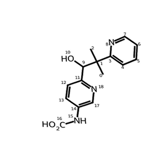 CC(C)(c1ccccn1)C(O)c1ccc(NC(=O)O)cn1